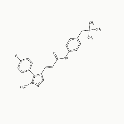 Cn1ncc(/C=C/C(=O)Nc2ccc(CC(C)(C)C)cc2)c1-c1ccc(F)cc1